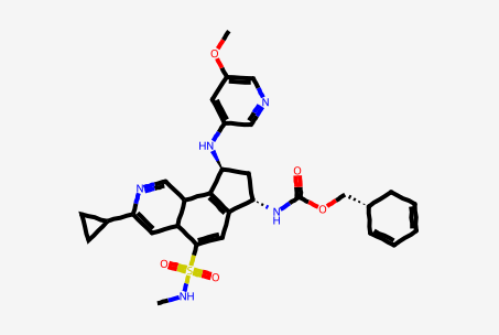 CNS(=O)(=O)C1=CC2=C(C3C=NC(C4CC4)=CC13)[C@@H](Nc1cncc(OC)c1)C[C@@H]2NC(=O)OC[C@H]1C=CC=CC1